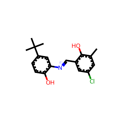 Cc1cc(Cl)cc(/C=N/c2cc(C(C)(C)C)ccc2O)c1O